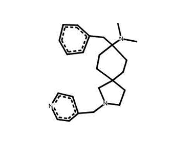 CN(C)C1(Cc2ccccc2)CCC2(CCN(Cc3ccncc3)C2)CC1